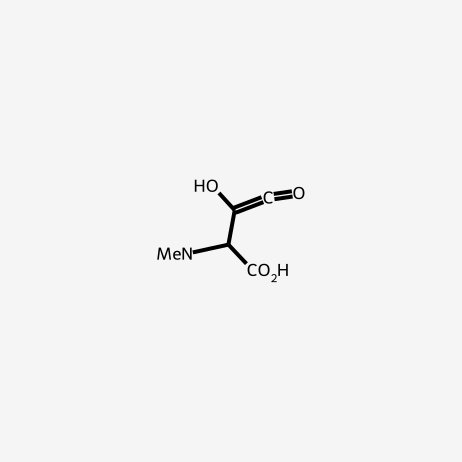 CNC(C(=O)O)C(O)=C=O